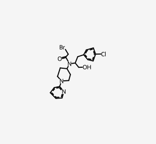 O=C(CBr)N(C1CCN(c2ccccn2)CC1)C(CO)Cc1ccc(Cl)cc1